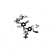 C#CCOc1cc(-n2nc(C(C)(C)C)oc2=O)c(Cl)cc1Cl.C[S+](C)C.N#Cc1cc(Br)c(O)c(Br)c1.O=C(O)CNCP(=O)([O-])O